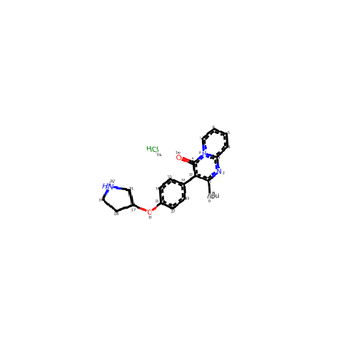 CCCCc1nc2ccccn2c(=O)c1-c1ccc(OC2CCNC2)cc1.Cl